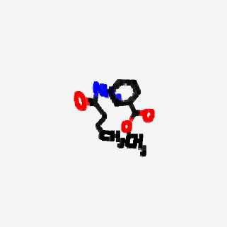 CCCC(N)=O.COC(=O)c1ccccc1